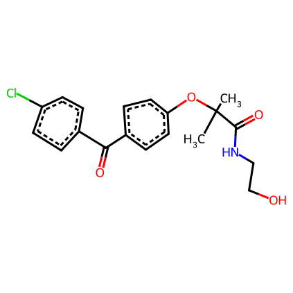 CC(C)(Oc1ccc(C(=O)c2ccc(Cl)cc2)cc1)C(=O)NCCO